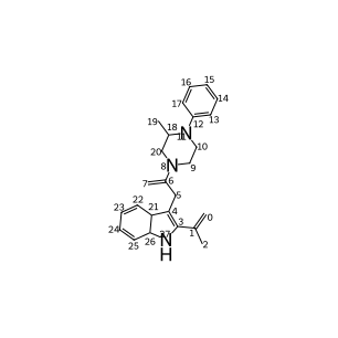 C=C(C)C1=C(CC(=C)N2CCN(c3ccccc3)C(C)C2)C2C=CC=CC2N1